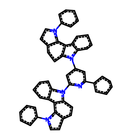 c1ccc(-c2cc(-n3c4ccccc4c4c5c(ccc43)ccn5-c3ccccc3)cc(-n3c4ccccc4c4c5c(ccc43)ccn5-c3ccccc3)n2)cc1